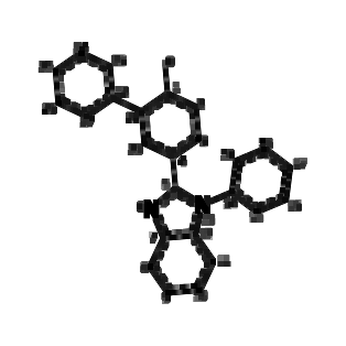 Cc1ccc(-c2nc3ccccc3n2-c2ccccc2)cc1-c1ccccc1